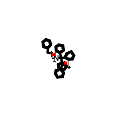 CN(Cc1ccccc1)c1ccccc1C(c1ccccc1)(c1ccccc1N(C)Cc1ccccc1)N(C)C